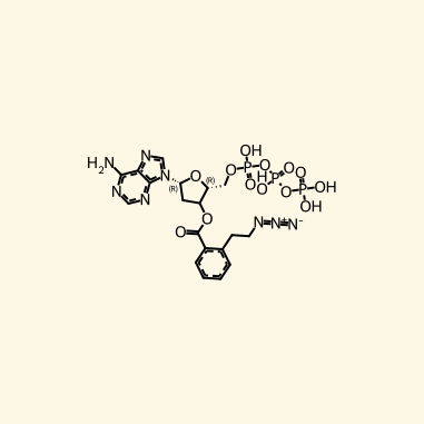 [N-]=[N+]=NCCc1ccccc1C(=O)OC1C[C@H](n2cnc3c(N)ncnc32)O[C@@H]1COP(=O)(O)OP(=O)(O)OP(=O)(O)O